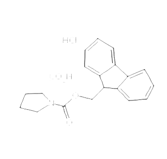 Cl.O=C(O)[C@H]1CCCN1C(=O)OCC1c2ccccc2-c2ccccc21